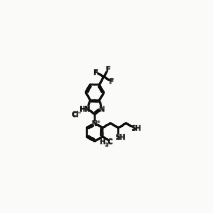 Cc1ccc[n+](-c2nc3cc(C(F)(F)F)ccc3[nH]2)c1CC(S)CS.[Cl-]